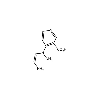 N/C=C\N(N)c1ccncc1C(=O)O